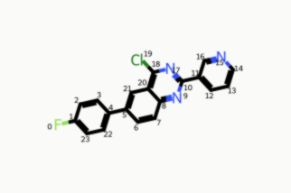 Fc1ccc(-c2ccc3nc(-c4cccnc4)nc(Cl)c3c2)cc1